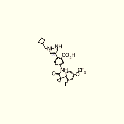 N=C/C(=C\NCC1CCC1)c1ccc(NC(=O)C2(c3ccc(OC(F)(F)F)cc3F)CC2)cc1C(=O)O